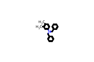 [CH2]c1ccc(N(Cc2ccccc2)Cc2ccccc2)cc1C